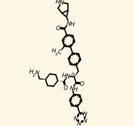 Cc1cc(C(=O)NC2C3CNCC32)ccc1-c1ccc(C[C@H](NC(=O)[C@H]2CC[C@H](CN)CC2)C(=O)Nc2ccc(-c3nn[nH]n3)cc2)cc1